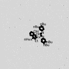 CCCCCCC(C=Nc1ccc(CCCC)c(CCCC)c1)=Nc1ccc(CCCC)c(CCCC)c1.CCCCCCc1c(CC)cc(O)c2c(O)cccc12